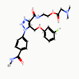 CCNC(=O)c1ccc(-n2nnc(C(=O)NCCOC(=O)CN(C)C)c2COc2cccc(F)c2)cc1